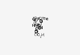 COc1ccc(Cn2nc(NC3CCN(C(=O)OC(C)(C)C)C3)c3c(Oc4ccc(C(=O)O)cc4)ccnc32)cc1